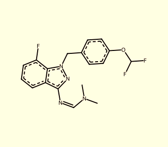 CN(C)/C=N\c1nn(Cc2ccc(OC(F)F)cc2)c2c(F)cccc12